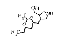 CCCCC(CC1CNCC1CO)OC(C)=O